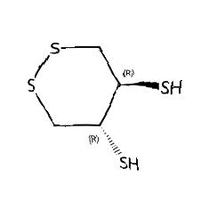 S[C@@H]1CSSC[C@H]1S